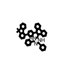 CC1(C)c2ccccc2-c2c(-c3ccc(-c4c(C5NC(c6ccccc6)=NC(c6ccccc6)N5)c5ccccc5c5ccccc45)cc3)cccc21